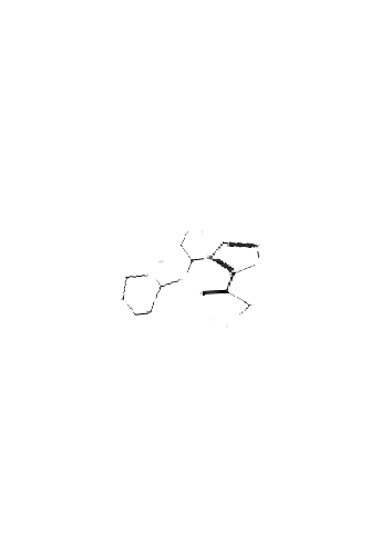 CCC(=O)c1sccc1C(CC)OC1CCCCO1